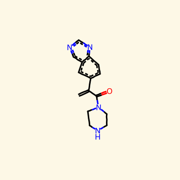 C=C(C(=O)N1CCNCC1)c1ccc2ncncc2c1